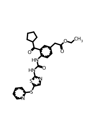 CCOC(=O)Cc1ccc(NC(=O)Nc2ncc(Sc3ccccn3)s2)c(C(=O)C2CCCC2)c1